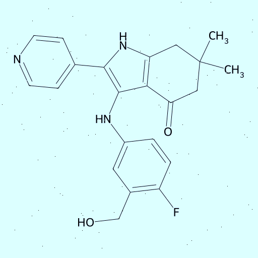 CC1(C)CC(=O)c2c([nH]c(-c3ccncc3)c2Nc2ccc(F)c(CO)c2)C1